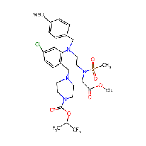 COc1ccc(CN(CCN(CC(=O)OC(C)(C)C)S(C)(=O)=O)c2cc(Cl)ccc2CN2CCN(C(=O)OC(C(F)(F)F)C(F)(F)F)CC2)cc1